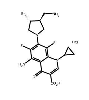 CC[C@H]1CN(c2c(F)c(N)c3c(=O)c(C(=O)O)cn(C4CC4)c3c2F)C[C@@H]1CN.Cl